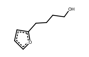 OCCCCc1ccco1